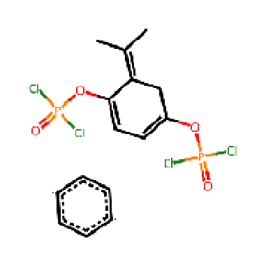 CC(C)=C1CC(OP(=O)(Cl)Cl)=CC=C1OP(=O)(Cl)Cl.[c]1cc[c]cc1